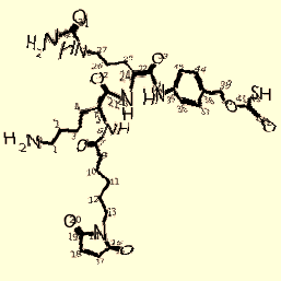 NCCCC[C@H](NC(=O)CCCCCN1C(=O)C=CC1=O)C(=O)N[C@@H](CCCNC(N)=O)C(=O)Nc1ccc(COC(=O)S)cc1